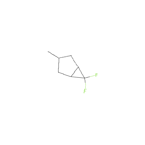 CC1CC2C(C1)C2(F)F